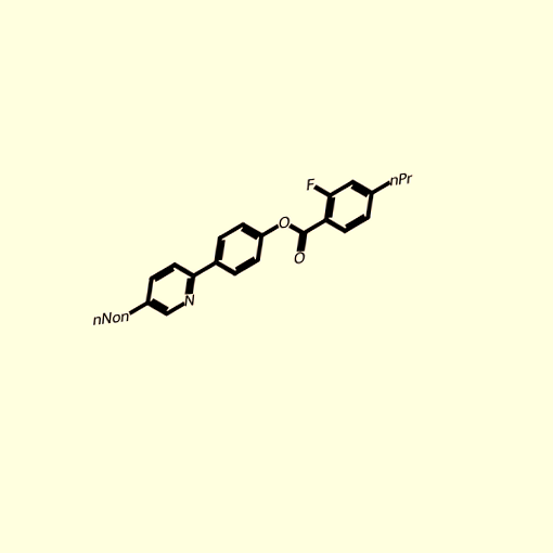 CCCCCCCCCc1ccc(-c2ccc(OC(=O)c3ccc(CCC)cc3F)cc2)nc1